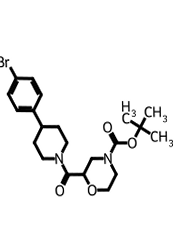 CC(C)(C)OC(=O)N1CCOC(C(=O)N2CCC(c3ccc(Br)cc3)CC2)C1